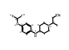 CC(CC#N)N1CCC(Nc2ccc(OC(F)F)cc2)CC1